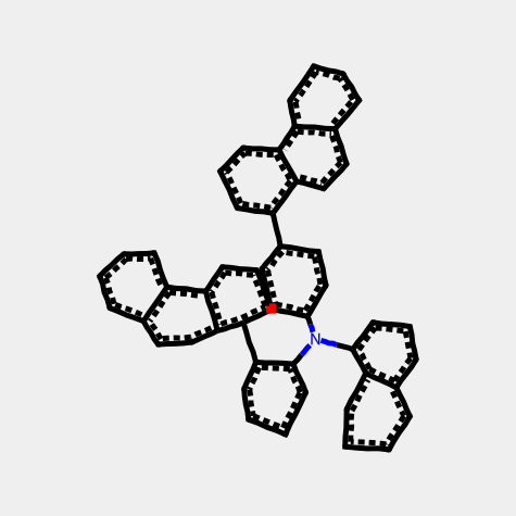 c1ccc(N(c2ccc(-c3cccc4c3ccc3ccccc34)cc2)c2cccc3ccccc23)c(-c2cccc3c2ccc2ccccc23)c1